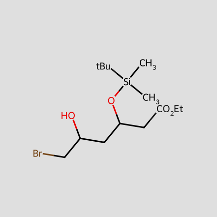 CCOC(=O)CC(CC(O)CBr)O[Si](C)(C)C(C)(C)C